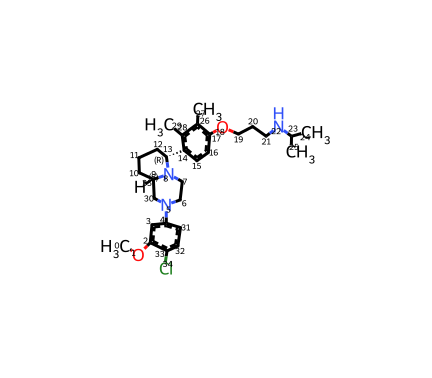 COc1cc(N2CCN3[C@@H](CCC[C@@H]3c3ccc(OCCCNC(C)C)c(C)c3C)C2)ccc1Cl